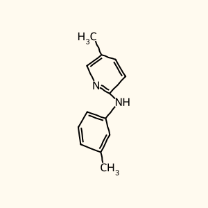 Cc1ccc(Nc2cccc(C)c2)nc1